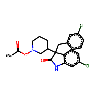 CC(C)(C)C(=O)ON1CCCC(C2(Cc3cccc(Cl)c3)C(=O)Nc3cc(Cl)ccc32)C1